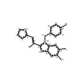 C/C(=C\c1ccco1)c1nc2cc(C)c(C)cc2n1Cc1ccc(C)cc1